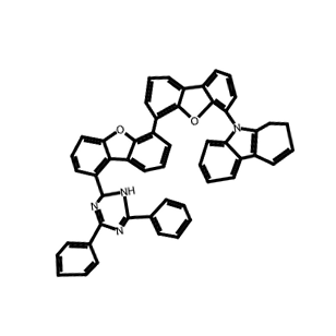 C1=Cc2c(n(-c3cccc4c3oc3c(-c5cccc6c5oc5cccc(C7N=C(c8ccccc8)N=C(c8ccccc8)N7)c56)cccc34)c3ccccc23)CC1